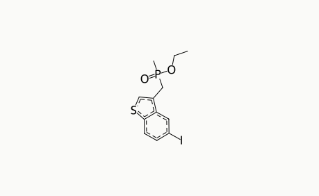 CCOP(C)(=O)Cc1csc2ccc(I)cc12